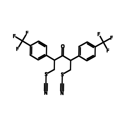 N#CSCC(C(=O)C(CSC#N)c1ccc(C(F)(F)F)cc1)c1ccc(C(F)(F)F)cc1